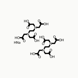 O=C(O)CN(CCN(CC(=O)O)CC(=O)O)CC(=O)O.O=C(O)CN(CCN(CC(=O)O)CC(=O)O)CC(=O)O.[NaH]